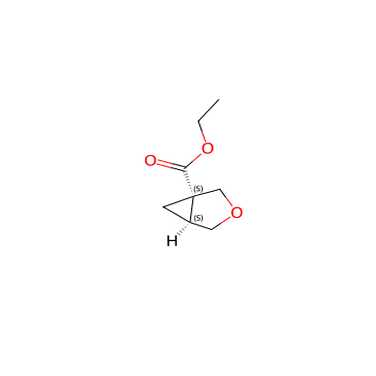 CCOC(=O)[C@]12COC[C@H]1C2